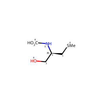 CSC[C@@H](CO)NC(=O)O